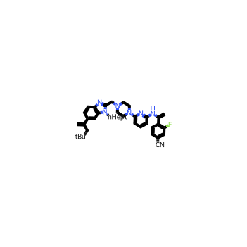 C=C(CC(C)(C)C)c1ccc2nc(CN3CCN(c4cccc(NC(=C)c5ccc(C#N)cc5F)n4)CC3)n(CCCCCCC)c2c1